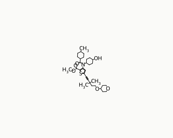 COC(=O)c1sc(C#CC(C)(C)CCOC2CCOCC2)cc1N(C(=O)C1CCC(C)CC1)C1CCC(O)CC1